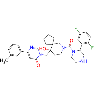 Cc1cccc(-c2cc(=O)n(CC3(O)CCN(C(=O)N4CCNCC4c4cc(F)ccc4F)CC34CCCC4)cn2)c1